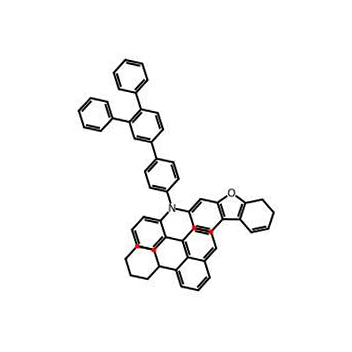 C1=Cc2c(oc3cc(N(c4ccc(-c5ccc(-c6ccccc6)c(-c6ccccc6)c5)cc4)c4ccccc4-c4cccc5cccc(C6CCCCC6)c45)ccc23)CC1